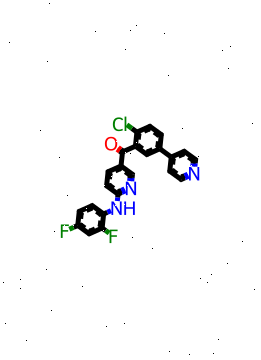 O=C(c1ccc(Nc2ccc(F)cc2F)nc1)c1cc(-c2ccncc2)ccc1Cl